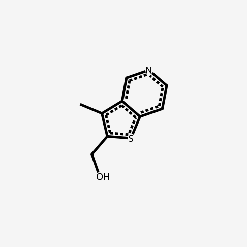 Cc1c(CO)sc2ccncc12